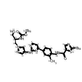 Cc1cc(-c2ccnc(Nc3cnn(C[C@@H](CO)NC(=O)OC(C)(C)C)c3)n2)ccc1CNC(=O)c1cnc(C(C)(C)C)s1